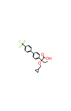 CCC(OCC1CC1)(C(=O)O)c1ccc(-c2ccc(C(F)(F)F)cc2)cc1